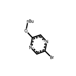 CCCCOc1cnc(Br)cn1